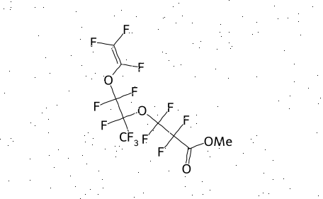 COC(=O)C(F)(F)C(F)(F)OC(F)(C(F)(F)F)C(F)(F)OC(F)=C(F)F